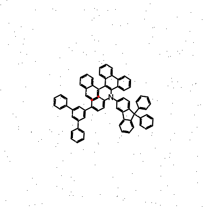 c1ccc(-c2cc(-c3ccccc3)cc(-c3ccc(N(c4ccc5c(c4)-c4ccccc4C5(c4ccccc4)c4ccccc4)c4c(-c5cccc6ccccc56)c5ccccc5c5ccccc45)cc3)c2)cc1